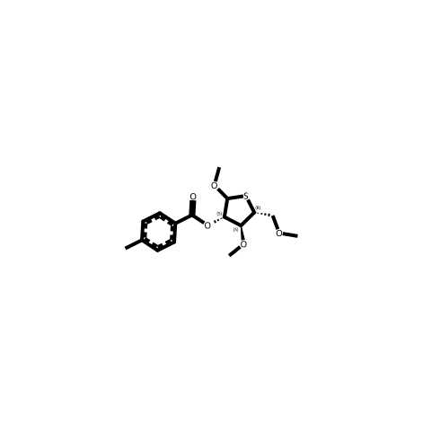 COC[C@H]1SC(OC)[C@@H](OC(=O)c2ccc(C)cc2)[C@@H]1OC